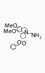 COc1cc2c(cc1OC)[C@]1(CC[C@@H](C(=O)OCc3ccccc3)CC1)N(CCN)CC2